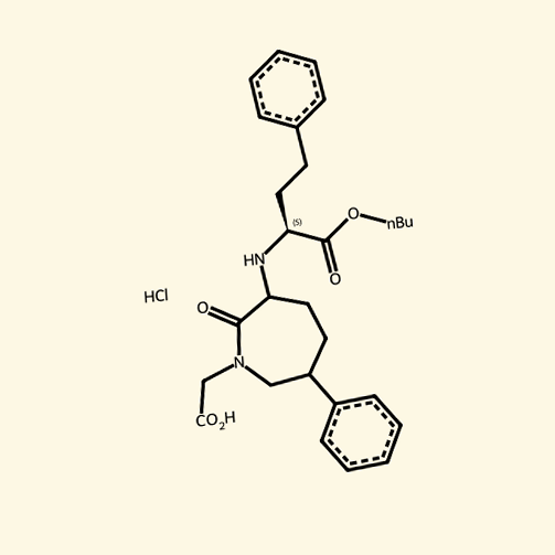 CCCCOC(=O)[C@H](CCc1ccccc1)NC1CCC(c2ccccc2)CN(CC(=O)O)C1=O.Cl